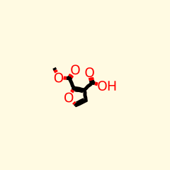 COC(=O)c1occc1C(=O)O